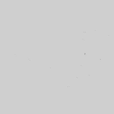 CCN(SC)c1c(Nc2nc(Nc3ccc(N4CCC(N5CCN(C)CC5)CC4)cc3OC)ncc2Br)ccc2nccnc12